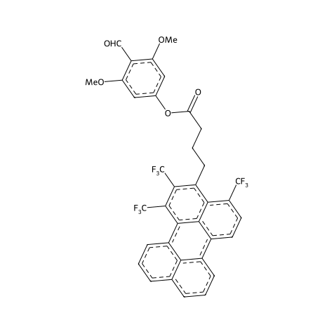 COc1cc(OC(=O)CCCc2c(C(F)(F)F)c(C(F)(F)F)c3c4cccc5cccc(c6ccc(C(F)(F)F)c2c63)c54)cc(OC)c1C=O